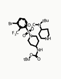 CC(C)(C)N(C(=O)O)C1CCNCC1.CC(C)(C)OC(=O)NC1CCN(S(=O)(=O)c2cccc(Br)c2C(F)(F)F)CC1